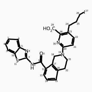 O=C(Nc1nc2ccccc2s1)c1cccc2c1CN(c1ccc(CCCI)c(C(=O)O)n1)CC2